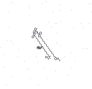 CCCCCCCCCCCCCCCCCC(=O)[O-].CCCCCCCCCCCCCCCCCCOC(=O)/C=C/C(=O)[O-].[Na+].[Na+]